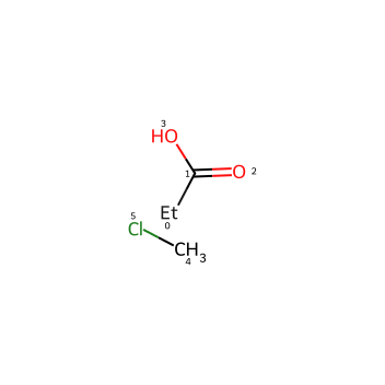 CCC(=O)O.CCl